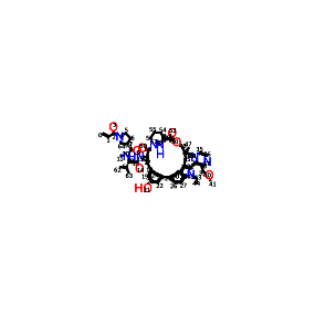 C=CC(=O)N1CC[C@H](C(=O)N(C)[C@H](C(=O)N[C@H]2Cc3cc(O)cc(c3)-c3ccc4c(c3)c(c(-c3nccnc3COC)n4CC)CC(C)(C)COC(=O)[C@@H]3CCCN(N3)C2=O)C(C)C)C1